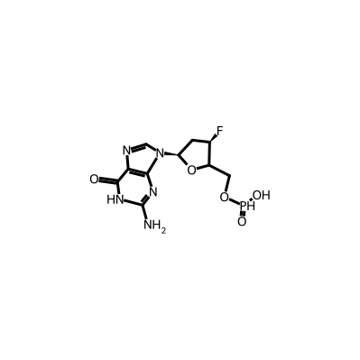 Nc1nc2c(ncn2[C@H]2C[C@@H](F)C(CO[PH](=O)O)O2)c(=O)[nH]1